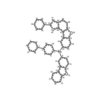 c1ccc(-c2ccc(N(c3ccc4oc5ccccc5c4c3)c3ccc4oc5ccc6nc(-c7ccccc7)oc6c5c4c3)cc2)cc1